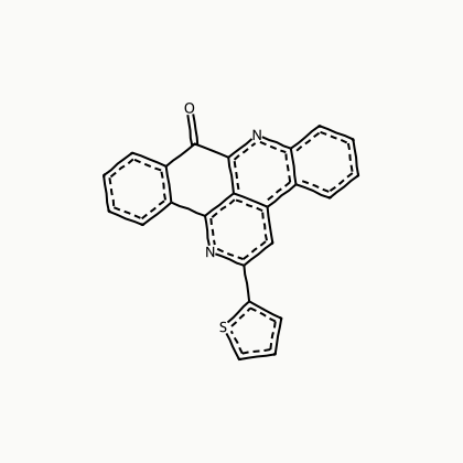 O=C1c2ccccc2-c2nc(-c3cccs3)cc3c2c1nc1ccccc13